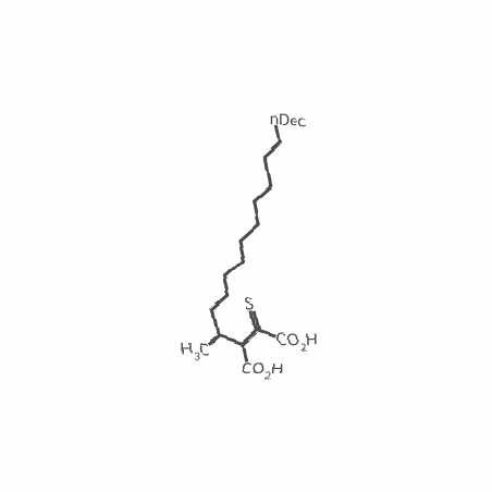 CCCCCCCCCCCCCCCCCCCCC(C)C(C(=O)O)C(=S)C(=O)O